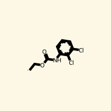 [CH2]COC(=O)Nc1cccc(Cl)c1Cl